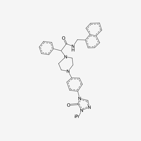 CC(C)n1ncn(-c2ccc(N3CCN(C(C(=O)NCc4cccc5ccccc45)c4ccccc4)CC3)cc2)c1=O